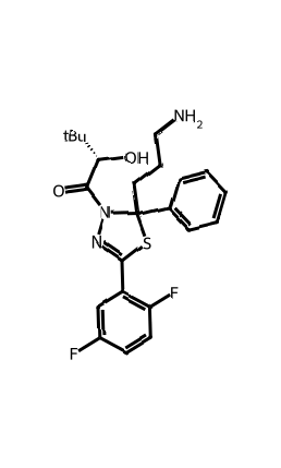 CC(C)(C)[C@H](O)C(=O)N1N=C(c2cc(F)ccc2F)SC1(CCCN)c1ccccc1